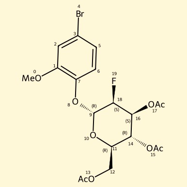 COc1cc(Br)ccc1O[C@H]1O[C@H](COC(C)=O)[C@@H](OC(C)=O)[C@H](OC(C)=O)[C@@H]1F